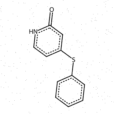 O=c1cc(Sc2ccccc2)cc[nH]1